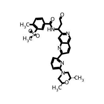 Cc1ccc(C(=O)NC(CC=O)c2cc3nc(-c4cccc(N5C[C@@H](C)O[C@@H](C)C5)n4)ccc3cn2)cc1S(C)(=O)=O